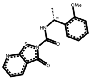 COc1ccccc1[C@@H](C)NC(=O)n1sc2ncccc2c1=O